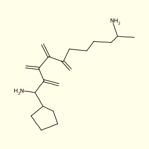 C=C(CCCCC(C)N)C(=C)C(=C)C(=C)C(N)C1CCCC1